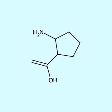 C=C(O)C1CCCC1N